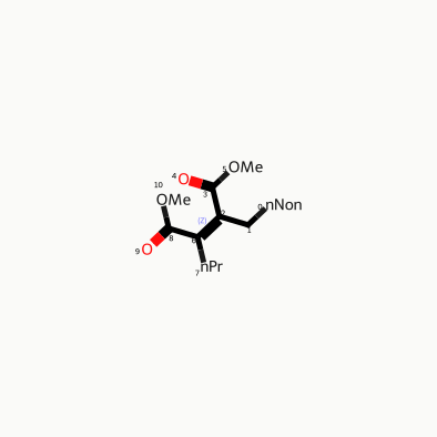 CCCCCCCCCC/C(C(=O)OC)=C(\CCC)C(=O)OC